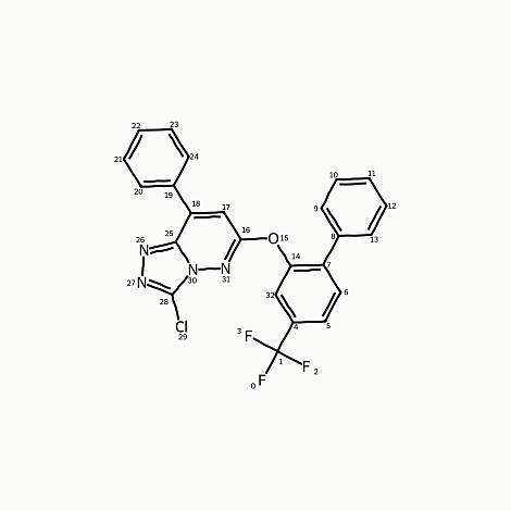 FC(F)(F)c1ccc(-c2ccccc2)c(Oc2cc(-c3ccccc3)c3nnc(Cl)n3n2)c1